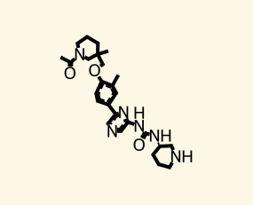 CC(=O)N1CCCC(C)(COc2ccc(-c3cncc(NC(=O)N[C@H]4CCCNC4)n3)cc2C)C1